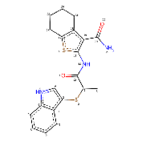 CC(Sc1c[nH]c2ccccc12)C(=O)Nc1sc2c(c1C(N)=O)CCCC2